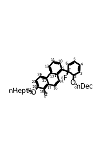 CCCCCCCCCCOC1C=CC=CC1(F)c1cccc2c1ccc1c(F)c(OCCCCCCC)ccc12